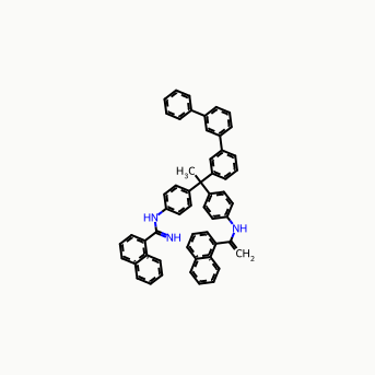 C=C(Nc1ccc(C(C)(c2ccc(NC(=N)c3cccc4ccccc34)cc2)c2cccc(-c3cccc(-c4ccccc4)c3)c2)cc1)c1cccc2ccccc12